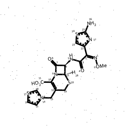 CO/N=C(\C(=O)N[C@@H]1C(=O)N2C(C(=O)O)=C(C[n+]3ccsc3)CS[C@H]12)c1csc(N)n1